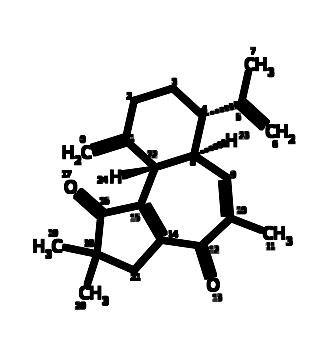 C=C1CC[C@H](C(=C)C)[C@H]2C=C(C)C(=O)C3=C(C(=O)C(C)(C)C3)[C@H]12